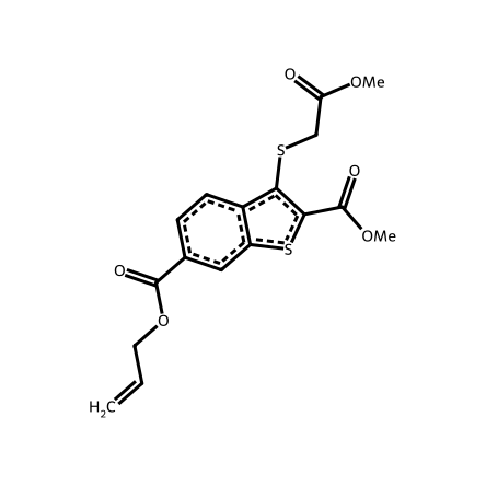 C=CCOC(=O)c1ccc2c(SCC(=O)OC)c(C(=O)OC)sc2c1